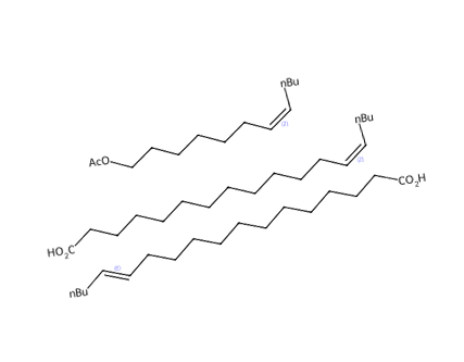 CCCC/C=C/CCCCCCCCCCCC(=O)O.CCCC/C=C\CCCCCCCCCCCC(=O)O.CCCC/C=C\CCCCCCOC(C)=O